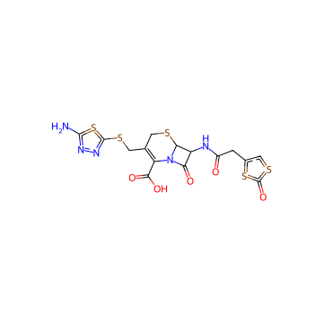 Nc1nnc(SCC2=C(C(=O)O)N3C(=O)C(NC(=O)Cc4csc(=O)s4)C3SC2)s1